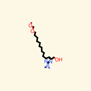 COCOCCCCCCCCCCc1cc(CO)nc(N(C)C)n1